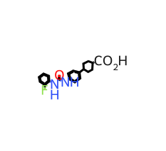 O=C(Nc1ccc(C2CCC(C(=O)O)CC2)cc1)Nc1ccccc1F